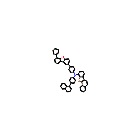 c1ccc(-c2cccc3c2oc2ccc(-c4ccc(N(c5ccc(-c6cccc7ccccc67)cc5)c5cccc6c5sc5c7ccccc7ccc65)cc4)cc23)cc1